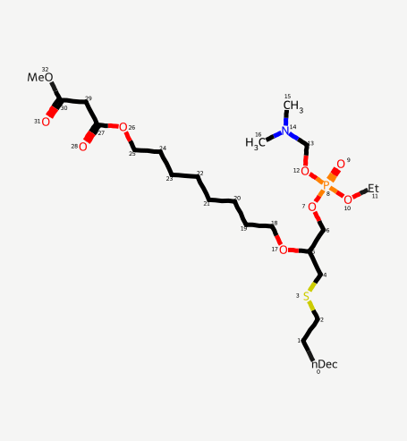 CCCCCCCCCCCCSCC(COP(=O)(OCC)OCN(C)C)OCCCCCCCCOC(=O)CC(=O)OC